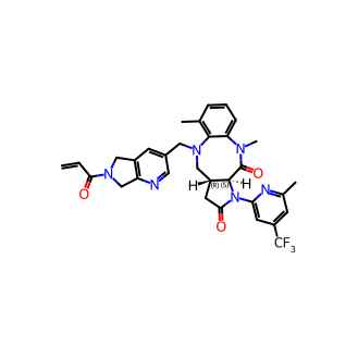 C=CC(=O)N1Cc2cc(CN3C[C@H]4CC(=O)N(c5cc(C(F)(F)F)cc(C)n5)[C@@H]4C(=O)N(C)c4cccc(C)c43)cnc2C1